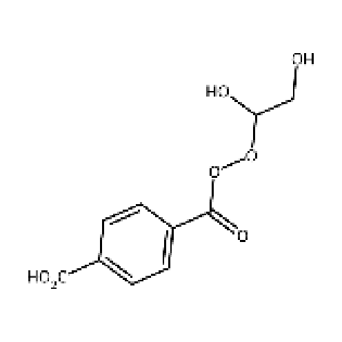 O=C(O)c1ccc(C(=O)OOC(O)CO)cc1